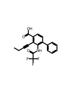 CCC#Cc1c(C(=O)O)ccc(-c2ccccc2)c1NC(=O)C(F)(F)F